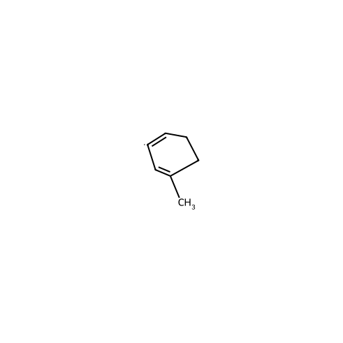 CC1=C[C]=CCC1